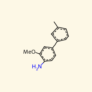 COc1cc(-c2cccc(C)c2)ccc1N